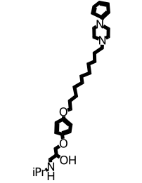 CC(C)NCC(O)COc1ccc(OCCCCCCCCCCCN2CCN(c3ccccc3)CC2)cc1